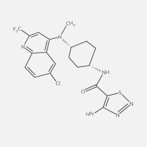 CCCc1nnsc1C(=O)N[C@H]1CC[C@@H](N(C)c2cc(C(F)(F)F)nc3ccc(Cl)cc23)CC1